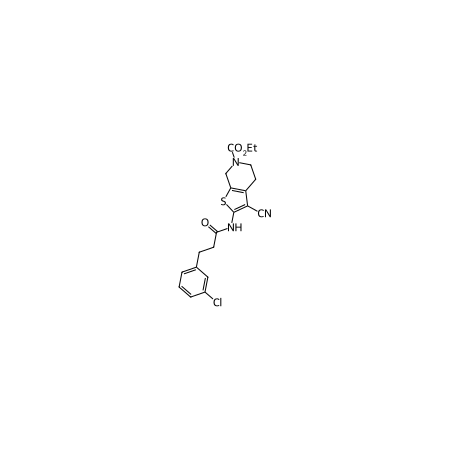 CCOC(=O)N1CCc2c(sc(NC(=O)CCc3cccc(Cl)c3)c2C#N)C1